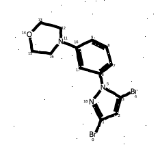 Brc1cc(Br)n(-c2cccc(N3CCOCC3)c2)n1